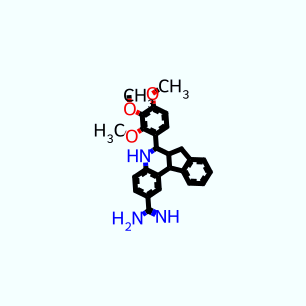 COc1ccc(C2Nc3ccc(C(=N)N)cc3C3c4ccccc4CC23)c(OC)c1OC